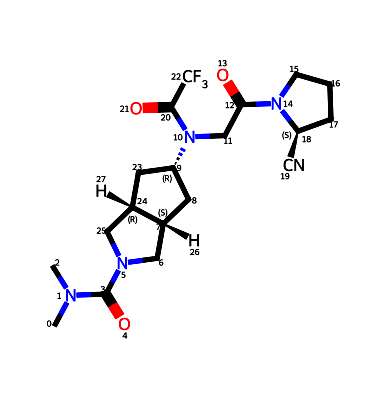 CN(C)C(=O)N1C[C@H]2C[C@@H](N(CC(=O)N3CCC[C@H]3C#N)C(=O)C(F)(F)F)C[C@H]2C1